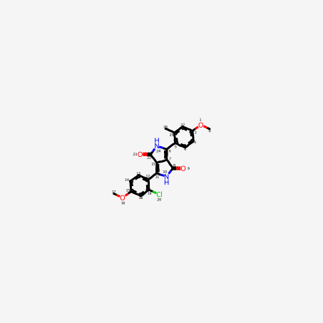 COc1ccc(C2=C3C(=O)NC(c4ccc(OC)cc4Cl)=C3C(=O)N2)c(C)c1